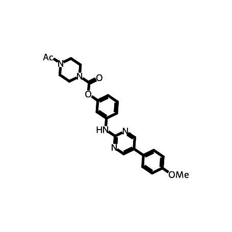 COc1ccc(-c2cnc(Nc3cccc(OC(=O)N4CCN(C(C)=O)CC4)c3)nc2)cc1